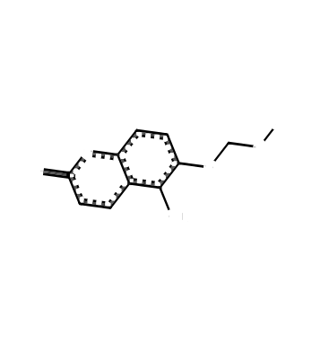 COCOc1ccc2oc(=O)ccc2c1C